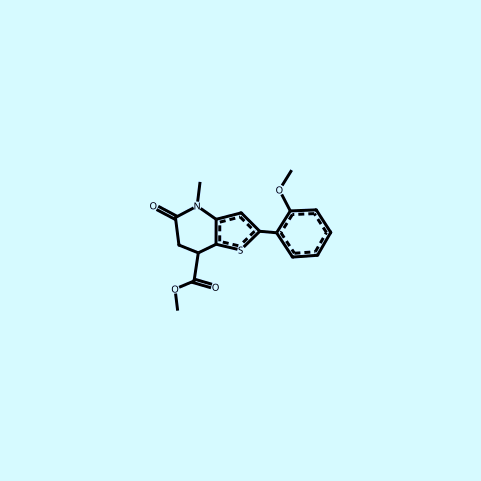 COC(=O)C1CC(=O)N(C)c2cc(-c3ccccc3OC)sc21